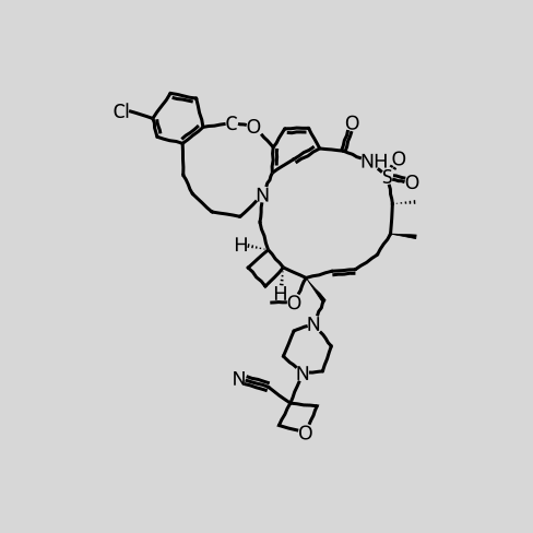 CO[C@@]1(CN2CCN(C3(C#N)COC3)CC2)/C=C/C[C@H](C)[C@@H](C)S(=O)(=O)NC(=O)c2ccc3c(c2)N(CCCCc2cc(Cl)ccc2CO3)C[C@@H]2CC[C@@H]21